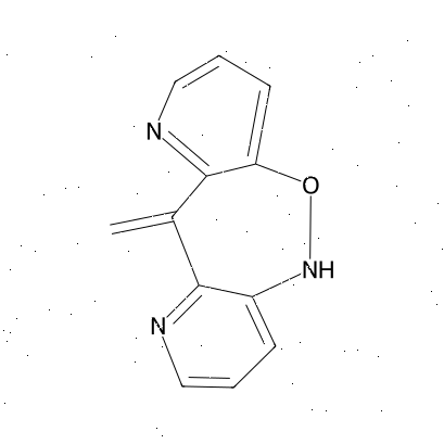 C=C1c2ncccc2NOc2cccnc21